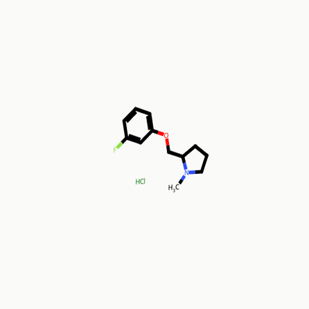 CN1CCCC1COc1cccc(F)c1.Cl